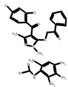 CCC(CC)Nc1c([N+](=O)[O-])cc(C)c(C)c1[N+](=O)[O-].Cc1nn(C)c(OCC(=O)c2ccccc2)c1C(=O)c1ccc(Cl)cc1Cl